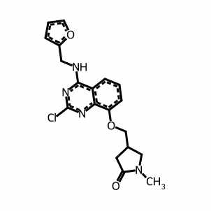 CN1CC(COc2cccc3c(NCc4ccco4)nc(Cl)nc23)CC1=O